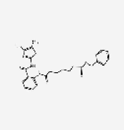 Cc1nc(NC(=O)c2ccccc2NC(=O)CCOCCC(=O)OCc2ccccc2)sc1C